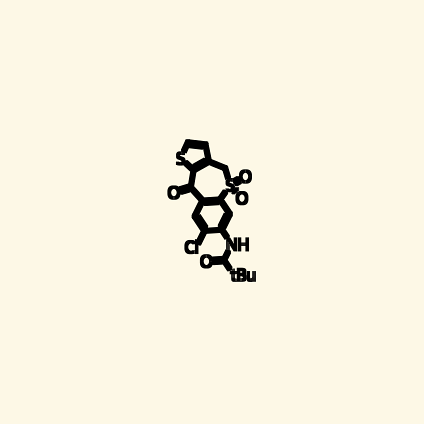 CC(C)(C)C(=O)Nc1cc2c(cc1Cl)C(=O)c1sccc1CS2(=O)=O